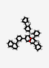 c1cc(-c2cccc(N(c3ccc4c(c3)oc3ccccc34)c3ccccc3-c3cccc4c3oc3ccccc34)c2)cc(-c2cccc3ccccc23)c1